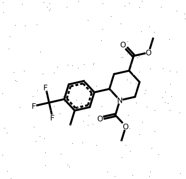 COC(=O)C1CCN(C(=O)OC)C(c2ccc(C(F)(F)F)c(C)c2)C1